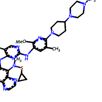 COc1nc(N2CCC(N3CCN(C)CC3)CC2)c(C)cc1Nc1ncc(Br)c(Nc2ccc3nccnc3c2N(C)SC2CC2)n1